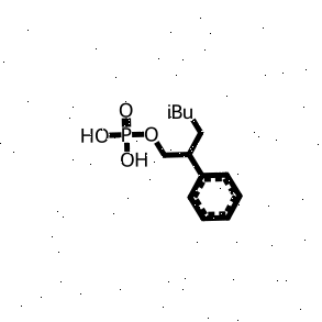 CCC(C)CC(COP(=O)(O)O)c1ccccc1